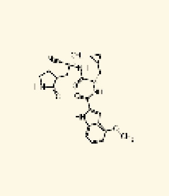 COc1cccc2[nH]c(C(=O)N[C@@H](CC3CC3)C(=O)N[C@](C)(C#N)CC3CCNC3=O)cc12